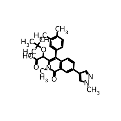 Cc1ccc(-c2c(C(OC(C)(C)C)C(=O)O)n(C)c(=O)c3cc(-c4cnn(C)c4)ccc23)cc1C